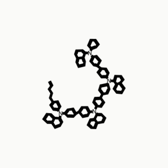 C=CCCCc1ccc(N(c2ccc(-c3ccc(N(c4ccc(-c5ccc(N(c6ccc(-c7ccc(N(c8ccccc8)c8cccc9ccccc89)cc7)cc6)c6cccc7ccccc67)cc5)cc4)c4cccc5ccccc45)cc3)cc2)c2cccc3ccccc23)cc1